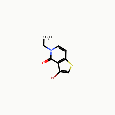 CCOC(=O)Cn1ccc2scc(Br)c2c1=O